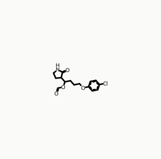 O=COC(CCCOc1ccc(Cl)cc1)C1CCNC1=O